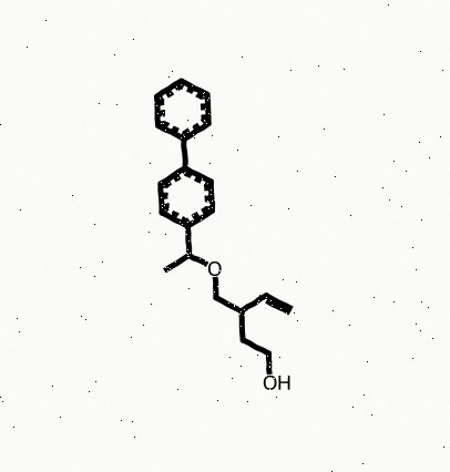 C=CC(CCO)COC(C)c1ccc(-c2ccccc2)cc1